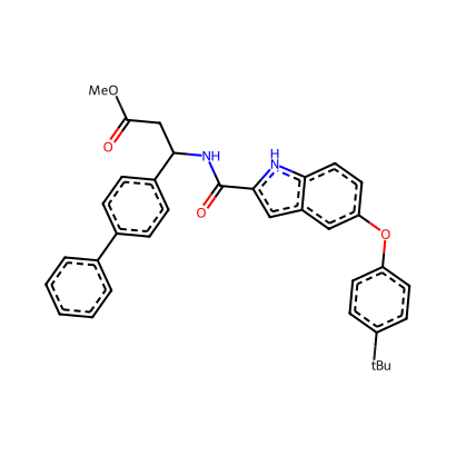 COC(=O)CC(NC(=O)c1cc2cc(Oc3ccc(C(C)(C)C)cc3)ccc2[nH]1)c1ccc(-c2ccccc2)cc1